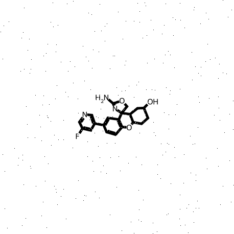 NC1=NC2(CO1)c1cc(-c3cncc(F)c3)ccc1OC1CCC(O)CC12